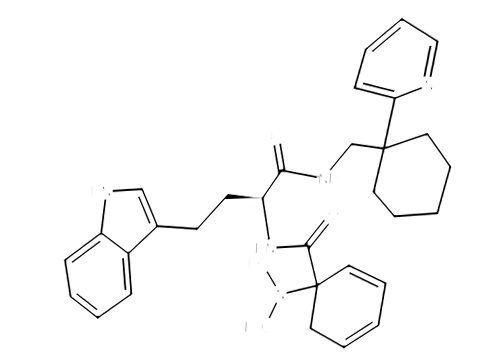 CN(C)C1(C(=O)N[C@@H](CCc2c[nH]c3ccccc23)C(=O)NCC2(c3ccccn3)CCCCC2)C=CC=CC1